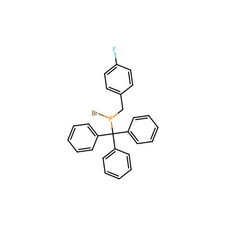 Fc1ccc(CP(Br)C(c2ccccc2)(c2ccccc2)c2ccccc2)cc1